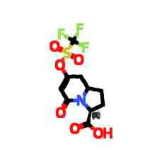 O=C(O)[C@@H]1CCC2CC(OS(=O)(=O)C(F)(F)F)=CC(=O)N21